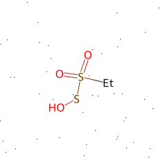 CCS(=O)(=O)SO